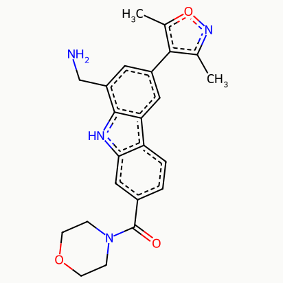 Cc1noc(C)c1-c1cc(CN)c2[nH]c3cc(C(=O)N4CCOCC4)ccc3c2c1